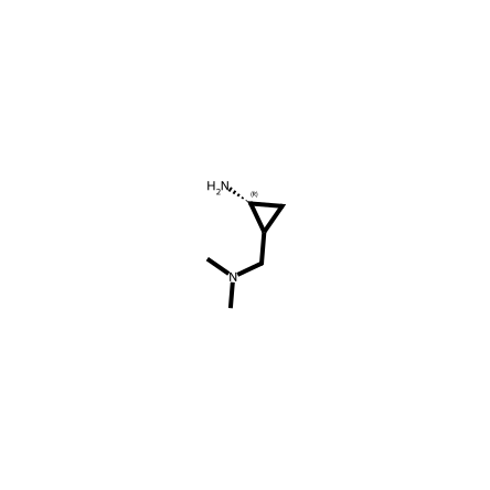 CN(C)CC1C[C@H]1N